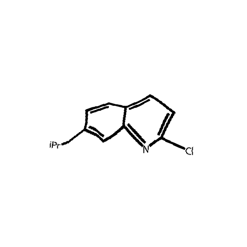 CC(C)c1ccc2ccc(Cl)nc2c1